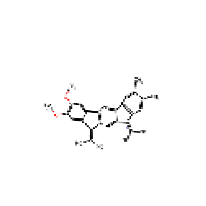 [C-]#[N+]/C(C#N)=C1\c2cc(C)c(C)cc2-c2cc3c(cc21)/C(=C(/C#N)[N+]#[C-])c1cc(OC(F)(F)F)c(OC(F)(F)F)cc1-3